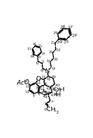 C=CCN1CC[C@]23c4c5ccc(OC(C)=O)c4OC2C(N(CCCCCCc2ccccc2)CCCc2ccccc2)CC[C@@]3(O)[C@H]1C5